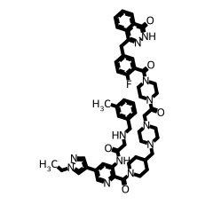 CCn1cc(-c2cnc(C(=O)N3CCC(CN4CCN(CC(=O)N5CCN(C(=O)c6cc(Cc7n[nH]c(=O)c8ccccc78)ccc6F)CC5)CC4)CC3)c(NC(=O)CNCc3cccc(C)c3)c2)cn1